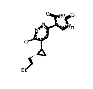 CC/C=C/[C@H]1C[C@@H]1c1cc(-c2c[nH]c(=O)[nH]c2=O)nnc1Cl